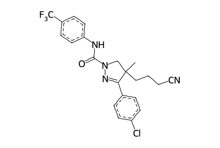 CC1(CCCC#N)CN(C(=O)Nc2ccc(C(F)(F)F)cc2)N=C1c1ccc(Cl)cc1